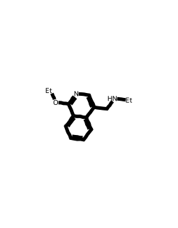 CCNCc1cnc(OCC)c2ccccc12